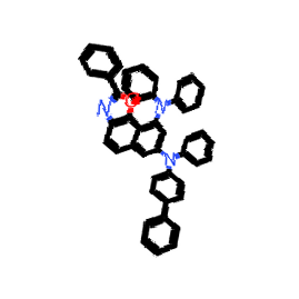 c1ccc(-c2ccc(N(c3ccccc3)c3cc(N(c4ccccc4)c4ccccc4)c4c(ccc5nc(-c6ccccc6)oc54)c3)cc2)cc1